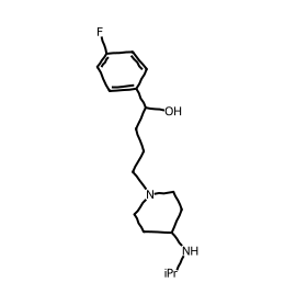 CC(C)NC1CCN(CCCC(O)c2ccc(F)cc2)CC1